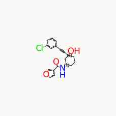 O=C(N[C@H]1CCC[C@@](O)(C#Cc2cccc(Cl)c2)C1)c1ccoc1